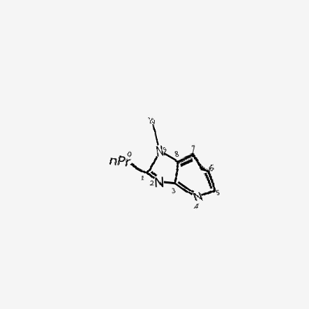 CCCc1nc2ncccc2n1C